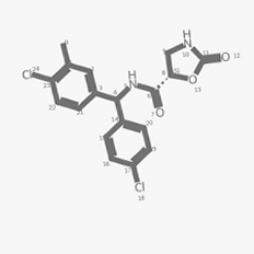 Cc1cc(C(NC(=O)[C@@H]2CNC(=O)O2)c2ccc(Cl)cc2)ccc1Cl